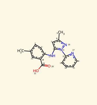 Cc1ccc(Nc2cc(C)nn2-c2ccccn2)c(C(=O)O)c1